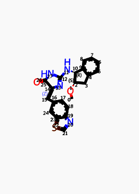 CO[C@H]1Cc2ccccc2[C@H]1NC1=N/C(=C\c2ccc3ncsc3c2)C(=O)N1